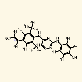 [2H]/C(C#N)=C(/[2H])c1c([2H])c(C([2H])([2H])[2H])c(Nc2ccnc(Nc3c([2H])c([2H])c(C#N)c([2H])c3[2H])n2)c(C([2H])([2H])[2H])c1[2H]